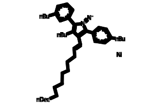 CCCCCCCCCCCCCCCCCC=CC1=C(c2ccc(CCCC)cc2)[N+](=[N-])C(c2cccc(CCCC)c2)=C1CCCC.[Ni]